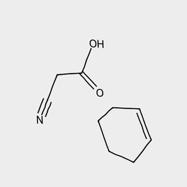 C1=CCCCC1.N#CCC(=O)O